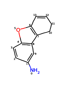 Nc1ccc2oc3c(c2c1)CCC=C3